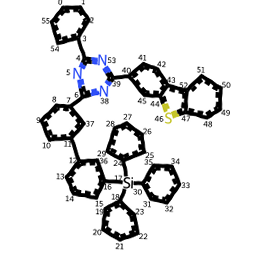 c1ccc(-c2nc(-c3cccc(-c4cccc([Si](c5ccccc5)(c5ccccc5)c5ccccc5)c4)c3)nc(-c3ccc4c(c3)sc3ccccc34)n2)cc1